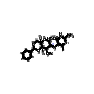 CC(=O)O[C@@H]1/C(=N/c2c(C)nc(N)[nH]c2=O)C(O)O[C@@H]2COC(c3ccccc3)O[C@H]12